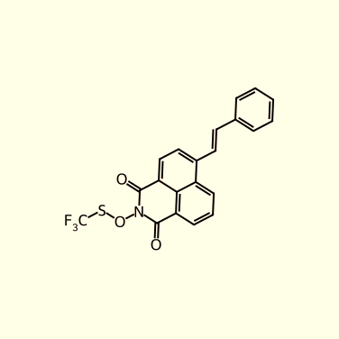 O=C1c2cccc3c(/C=C/c4ccccc4)ccc(c23)C(=O)N1OSC(F)(F)F